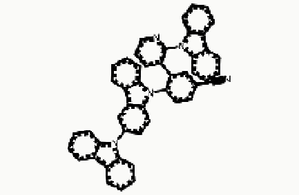 N#Cc1ccc(-n2c3ccccc3c3cc(-n4c5ccccc5c5ccccc54)ccc32)c(-c2cccnc2-n2c3ccccc3c3ccccc32)c1